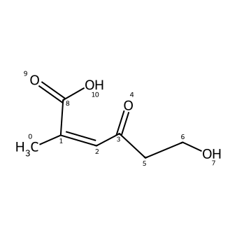 CC(=CC(=O)CCO)C(=O)O